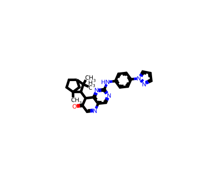 CC12CCC(C1)C(C)(C)C2C1C(=O)C=Nc2cnc(Nc3ccc(-n4cccn4)cc3)nc21